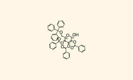 O=C(O[C@@H]1[C@@H](OC(=O)c2ccccc2)[C@@H](O)O[C@H](COC(c2ccccc2)(c2ccccc2)c2ccccc2)[C@H]1OC(=O)c1ccccc1)c1ccccc1